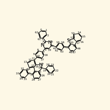 c1ccc(-c2nc(-c3ccc(-c4cccc5c4nc(-c4ccccc4)c4cccc(-c6ccccc6)c45)cc3)cc(-c3ccc(-c4cccc5c4sc4ccccc45)cc3)n2)cc1